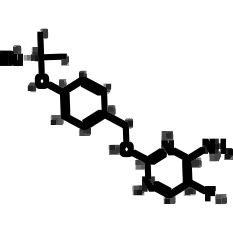 CC[C@@H](C)C(C)(C)Oc1ccc(COc2ncc(F)c(N)n2)cc1